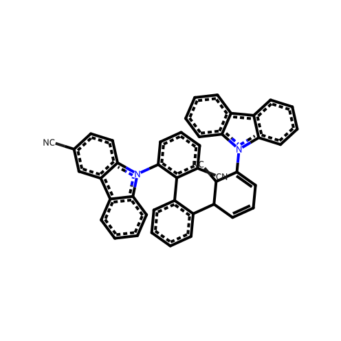 N#Cc1ccc2c(c1)c1ccccc1n2-c1cccc(C#N)c1-c1ccccc1C1C=CC=C(n2c3ccccc3c3ccccc32)C1C#N